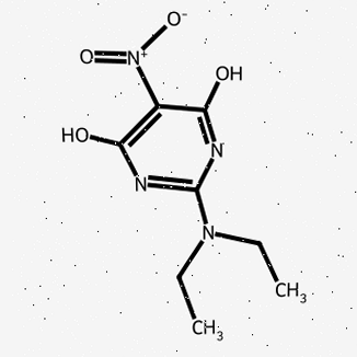 CCN(CC)c1nc(O)c([N+](=O)[O-])c(O)n1